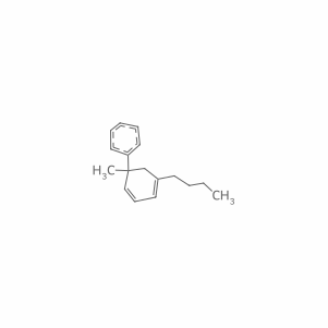 CCCCC1=CC=CC(C)(c2ccccc2)C1